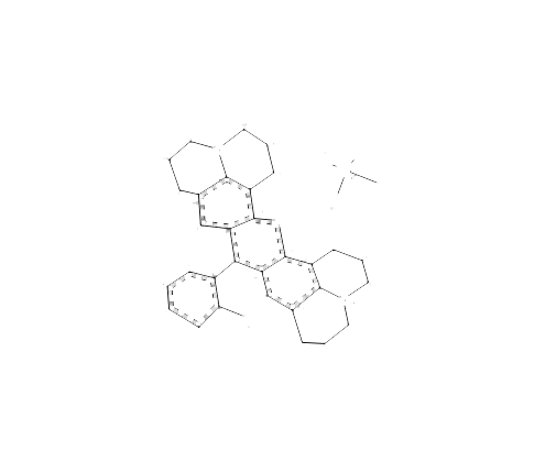 O=C(O)c1ccccc1-c1c2cc3c4c(c2[o+]c2c5c6c(cc12)CCCN6CCC5)CCCN4CCC3.[O-][Cl+3]([O-])([O-])[O-]